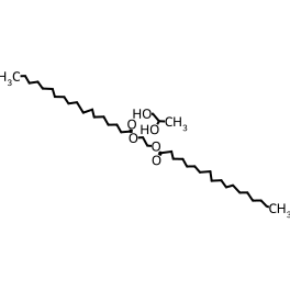 CC(O)CO.CCCCCCCCCCCCCCCCCC(=O)OCCOC(=O)CCCCCCCCCCCCCCCCC